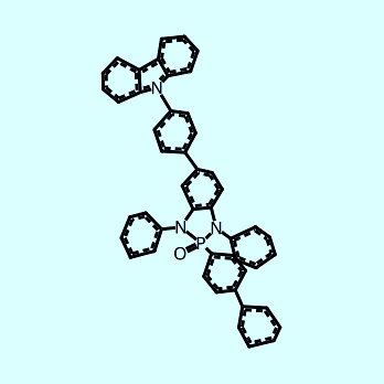 O=P1(c2ccc(-c3ccccc3)cc2)N(c2ccccc2)c2ccc(-c3ccc(-n4c5ccccc5c5ccccc54)cc3)cc2N1c1ccccc1